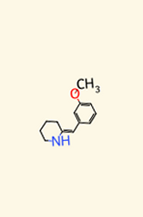 COc1cccc(C=C2CCCCN2)c1